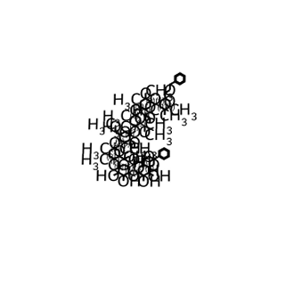 COCC1O[C@@H](O[C@H]2C(C)C(C)[C@@H](O[C@H]3C(C)C(OC)[C@H](O[C@@H]4C(COCc5ccccc5)O[C@@H](C)C(C)[C@H]4C)O[C@H]3COC)O[C@H]2COC)C(OC)[C@@H](C)[C@@H]1O[C@H]1OC(CO)[C@@H](O[C@@H]2O[C@@H](CO)[C@@H](O[C@H]3O[C@H]4COC(c5ccccc5)O[C@H]4C(O)C3O)C(O)C2O)[C@H](C)C1C